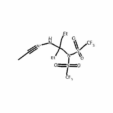 CC#[N+]NC(CC)(CC)N(S(=O)(=O)C(F)(F)F)S(=O)(=O)C(F)(F)F